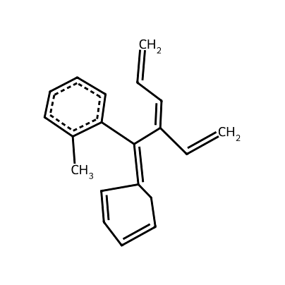 C=C/C=C(C=C)\C(=C1\C=CC=CC1)c1ccccc1C